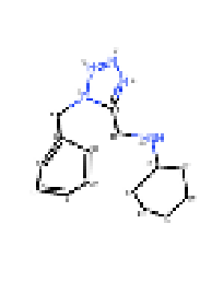 c1ccc(Cn2nnnc2CNC2CCCCC2)cc1